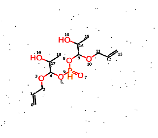 C=CCOC(O[PH](=O)OC(OCC=C)C(C)O)C(C)O